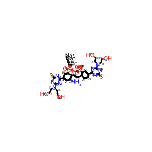 Nc1cc(-c2nc([S-])nc(N(CCO)CCO)n2)cc(S(=O)(=O)[O-])c1C=Cc1ccc(-c2nc([S-])nc(N(CCO)CCO)n2)cc1S(=O)(=O)[O-].[Na+].[Na+].[Na+].[Na+]